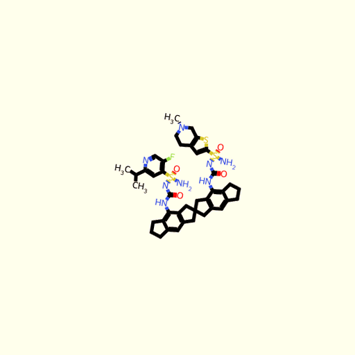 CC(C)c1cc(S(N)(=O)=NC(=O)Nc2c3c(cc4c2CC2(Cc5cc6c(c(NC(=O)N=S(N)(=O)c7cc8c(s7)CN(C)CC8)c5C2)CCC6)C4)CCC3)c(F)cn1